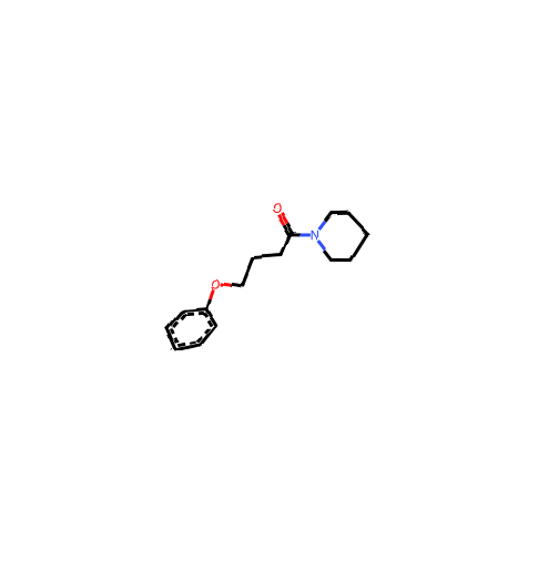 O=C(CCCOc1cc[c]cc1)N1CCCCC1